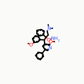 COc1cccc(C(c2cc(-c3ccccc3)cnc2OC)C(CCN(C)C)(ON)c2ccccc2)c1